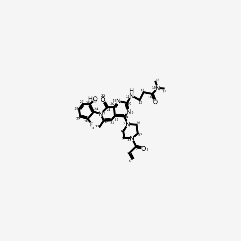 C=CC(=O)N1CCN(c2nc(NCCC(=O)N(C)C)nc3c(=O)n(-c4c(O)cccc4F)c(C)cc23)CC1